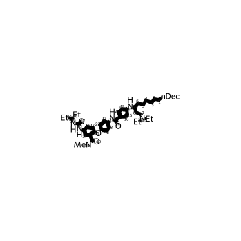 CCCCCCCCCCCCCCCCC(CCN(CC)CC)Nc1ccc(C(=O)Nc2ccc(Oc3ccc(NC(=O)NC(CC)CC)cc3C(=O)NC)cc2)cc1